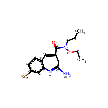 CCCN(OCC)C(=O)C1=Cc2ccc(Br)cc2N=C(N)C1